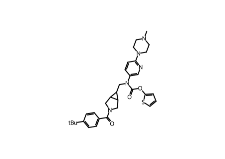 CN1CCN(c2ccc(N(CC3C4CN(C(=O)c5ccc(C(C)(C)C)cc5)CC43)C(=O)Oc3cccs3)cn2)CC1